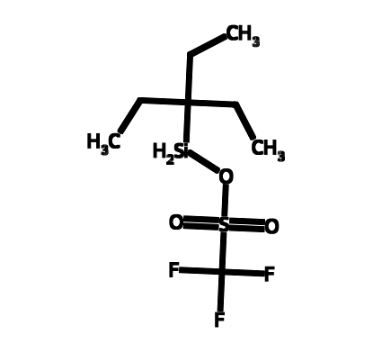 CCC(CC)(CC)[SiH2]OS(=O)(=O)C(F)(F)F